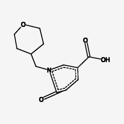 O=C(O)c1ccc(=O)n(CC2CCOCC2)c1